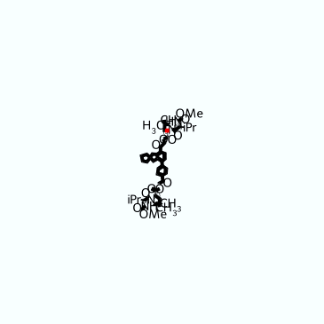 COC(=O)N[C@H](C(=O)N1CC(C)(C)C[C@H]1C(=O)OCC(=O)c1ccc(-c2ccc(C(=O)COC(=O)[C@@H]3CC(C)(C)CN3C(=O)[C@@H](NC(=O)OC)C(C)C)c3c2CC2(CCCC2)C3)cc1)C(C)C